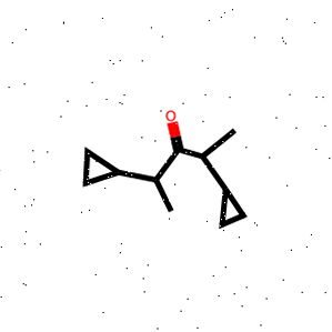 CC(C(=O)C(C)C1CC1)C1CC1